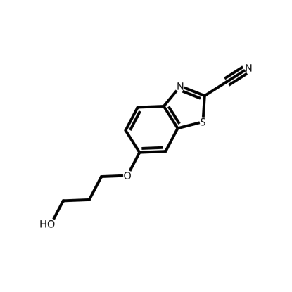 N#Cc1nc2ccc(OCCCO)cc2s1